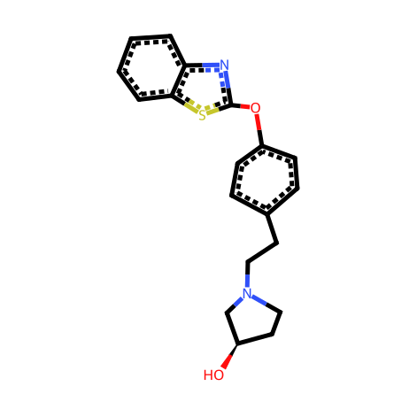 O[C@@H]1CCN(CCc2ccc(Oc3nc4ccccc4s3)cc2)C1